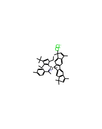 CCC1=[C](/[Zr+2](=[C](/C)c2ccc(C)cc2)[CH]2c3cc4c(cc3-c3cc5c(cc32)C(C)(C)C=C5C)C(C)=CC4(C)C)C(CC)C=C1C(C)(C)C.[Cl-].[Cl-]